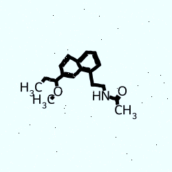 CCC(OC)c1ccc2cccc(CCNC(C)=O)c2c1